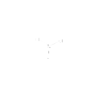 FN(Cl)Cl